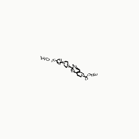 CC(C)(C)OC(=O)N1CCc2nc(N3CCN(c4ncc(C(=O)O)cn4)CC3)ncc2C1